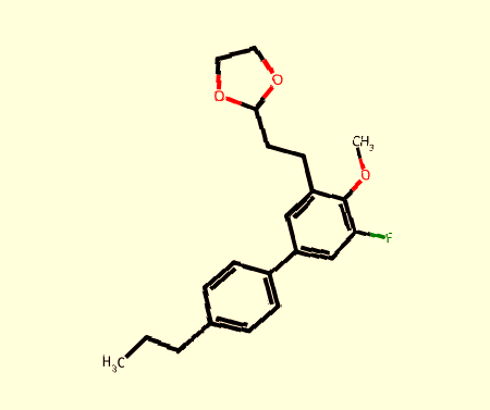 CCCc1ccc(-c2cc(F)c(OC)c(CCC3OCCO3)c2)cc1